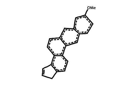 COc1ccc2cc3c(ccc4c5c(ccc43)CC=C5)cc2c1